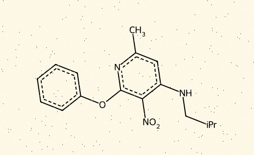 Cc1cc(NCC(C)C)c([N+](=O)[O-])c(Oc2ccccc2)n1